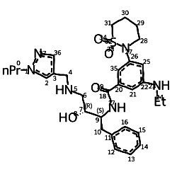 CCCn1cc(CNC[C@@H](O)[C@H](Cc2ccccc2)NC(=O)c2cc(NCC)cc(N3CCCCS3(=O)=O)c2)cn1